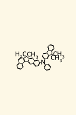 CC1(C)c2ccccc2-c2ccc(N(c3ccccc3)c3ccc4cc5c(cc4c3)C(C)(C)c3ccc4ccccc4c3-5)cc21